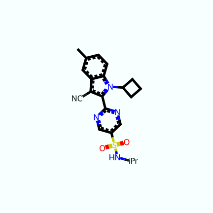 Cc1ccc2c(c1)c(C#N)c(-c1ncc(S(=O)(=O)NC(C)C)cn1)n2C1CCC1